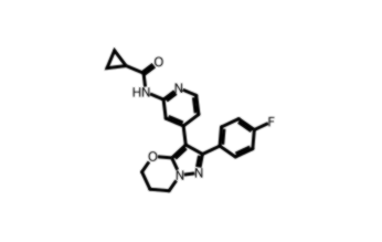 O=C(Nc1cc(-c2c(-c3ccc(F)cc3)nn3c2OCCC3)ccn1)C1CC1